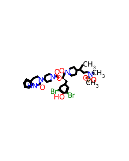 CCC(CCN(C)S(C)(=O)=O)C1CCN(C(=O)[C@@H](CC2C=C(Br)C(O)=C(Br)C2)OC(=O)N2CCC(N3CCc4ccccc4NC3=O)CC2)CC1